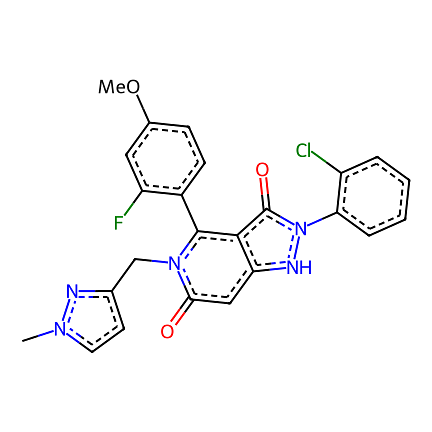 COc1ccc(-c2c3c(=O)n(-c4ccccc4Cl)[nH]c3cc(=O)n2Cc2ccn(C)n2)c(F)c1